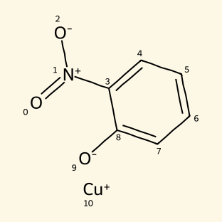 O=[N+]([O-])c1ccccc1[O-].[Cu+]